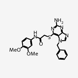 COc1ccc(NC(=O)CSc2nc(N)nc3ncn(Cc4ccccc4)c23)cc1OC